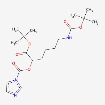 CC(C)(C)OC(=O)NCCCC[C@H](OC(=O)n1ccnc1)C(=O)OC(C)(C)C